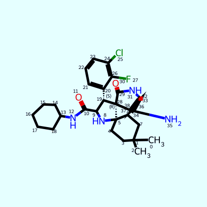 CC1(C)CCC2(CC1)NC(C(=O)NC1CCCCC1)[C@H](c1cccc(Cl)c1F)[C@]21C(=O)Nc2cc(N)ccc21